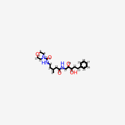 CC(CCNC(=O)N1CCOCC1)CC(=O)NCC(=O)C(O)CCc1ccccc1